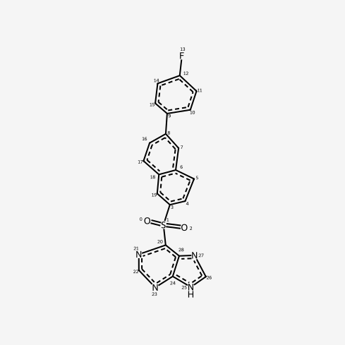 O=S(=O)(c1ccc2cc(-c3ccc(F)cc3)ccc2c1)c1ncnc2[nH]cnc12